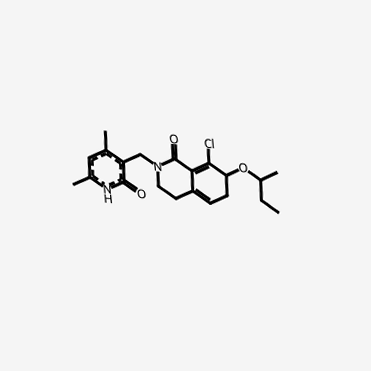 CCC(C)OC1CC=C2CCN(Cc3c(C)cc(C)[nH]c3=O)C(=O)C2=C1Cl